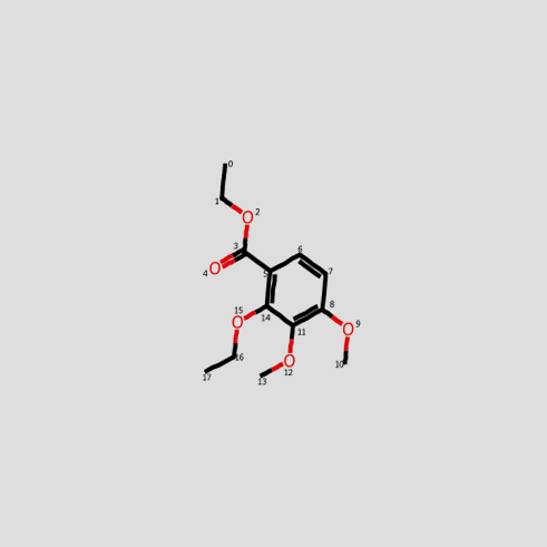 CCOC(=O)c1ccc(OC)c(OC)c1OCC